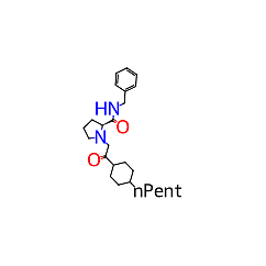 CCCCCC1CCC(C(=O)CN2CCC[C@H]2C(=O)NCc2ccccc2)CC1